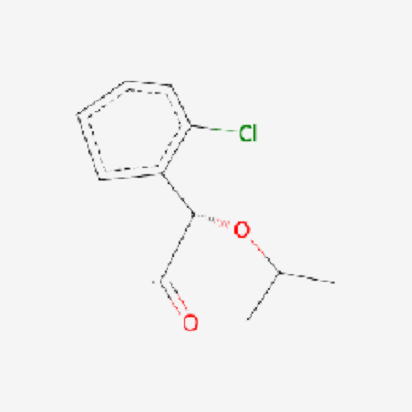 CC(C)O[C@H]([C]=O)c1ccccc1Cl